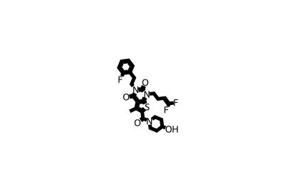 Cc1c(C(=O)N2CCC(O)CC2)sc2c1c(=O)n(CCc1ccccc1F)c(=O)n2CCC=C(F)F